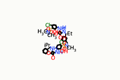 CC[C@@H](NC1=C(Nc2ccc(Cl)c(S(=O)(=O)N(C)C)c2O)C(=O)C1O)c1cccc(CN(C)S(=O)(=O)c2c(Cl)ccc(Nc3c(NC(c4ccccc4)C(C)C)c(=O)c3=O)c2O)c1